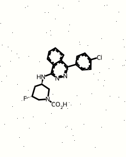 O=C(O)N1C[C@H](F)C[C@@H](Nc2nnc(-c3ccc(Cl)cc3)c3ccccc23)C1